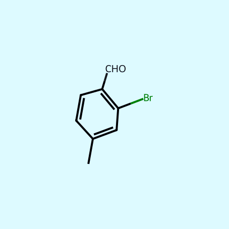 Cc1ccc(C=O)c(Br)c1